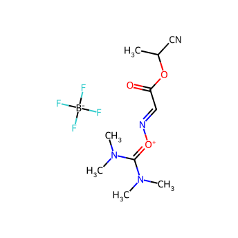 CC(C#N)OC(=O)C=N[O+]=C(N(C)C)N(C)C.F[B-](F)(F)F